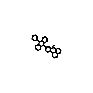 c1ccc(-c2c3ccccc3c(-c3ccc4c(c3)Sc3cccc5cccc-4c35)c3ccccc23)cc1